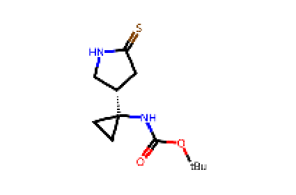 CC(C)(C)OC(=O)NC1([C@@H]2CNC(=S)C2)CC1